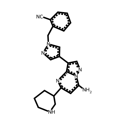 N#Cc1ccccc1Cn1cc(-c2cnn3c(N)cc(C4CCCNC4)nc23)cn1